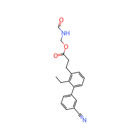 CCc1c(CCC(=O)OCNC=O)cccc1-c1cccc(C#N)c1